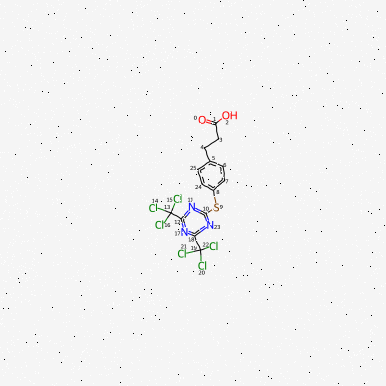 O=C(O)CCc1ccc(Sc2nc(C(Cl)(Cl)Cl)nc(C(Cl)(Cl)Cl)n2)cc1